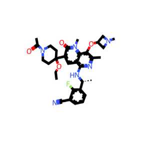 CCOC1(c2cc3c(N[C@H](C)c4cccc(C#N)c4F)nc(C)c(OC4CN(C)C4)c3n(C)c2=O)CCN(C(C)=O)CC1